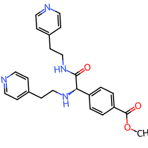 COC(=O)c1ccc([C@@H](NCCc2ccncc2)C(=O)NCCc2ccncc2)cc1